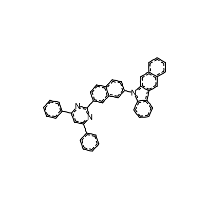 c1ccc(-c2cc(-c3ccccc3)nc(-c3ccc4ccc(-n5c6ccccc6c6cc7ccccc7cc65)cc4c3)n2)cc1